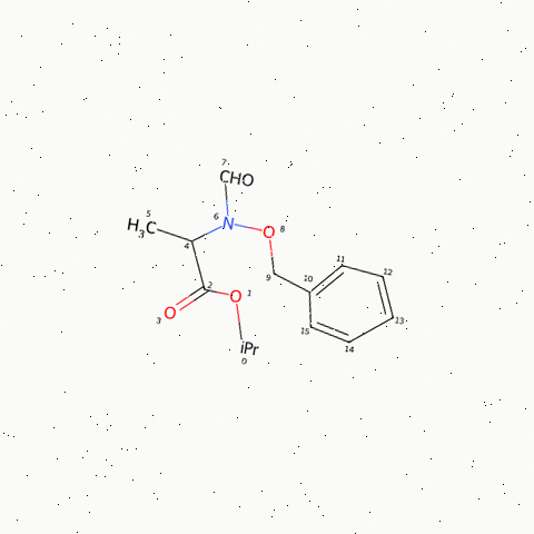 [CH2]C(C)OC(=O)C(C)N(C=O)OCc1ccccc1